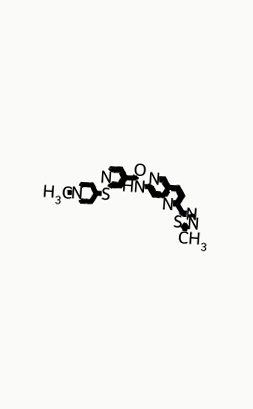 Cc1nnc(-c2ccc3cnc(NC(=O)c4ccnc(SC5CCN(C)CC5)c4)cc3n2)s1